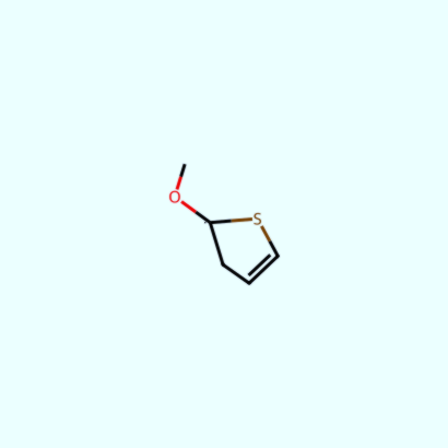 CO[C]1CC=CS1